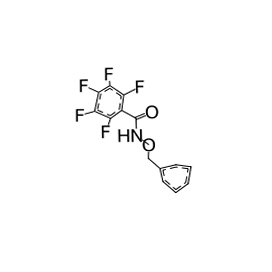 O=C(NOCc1ccccc1)c1c(F)c(F)c(F)c(F)c1F